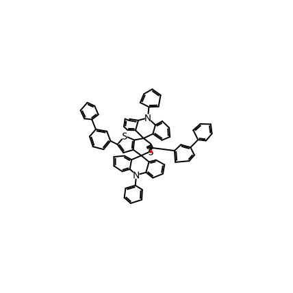 c1ccc(-c2cccc(-c3cc4c(s3)C3(c5ccccc5N(c5ccccc5)c5ccccc53)c3cc(-c5cccc(-c6ccccc6)c5)sc3C43c4ccccc4N(c4ccccc4)c4ccccc43)c2)cc1